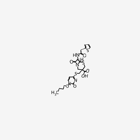 CCCCOn1ccc(SCC2(C(=O)O)CS[C@@H]3[C@H](NC(=O)Cc4cccs4)C(=O)N3C2)nc1=O